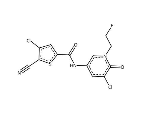 N#Cc1sc(C(=O)Nc2cc(Cl)c(=O)n(CCF)c2)cc1Cl